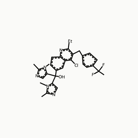 CCc1nc2ccc(C(O)(c3cnc(C)n3C)c3cnc(C)n3C)cc2c(Cl)c1Cc1ccc(C(C)(F)F)cc1